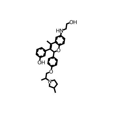 CC1=C(c2cccc(O)c2)C(c2ccc(OCC(C)N3CCC(C)C3)cc2)Oc2ccc(NCCO)cc21